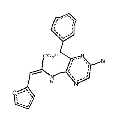 O=C(O)/C(=C/c1ccco1)Nc1ncc(Br)nc1Cc1ccccc1